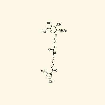 CC(=O)NC1C(OCCCCC(=O)NCCCCCC(=O)N2C[C@H](O)C[C@H]2C)OC(CO)C(O)C1O